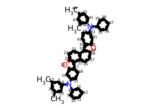 Cc1cc(C)cc(N(c2ccccc2)c2ccc3c(c2)oc2ccc4c(ccc5oc6cc(N(c7ccccc7)c7ccc(C)cc7C)ccc6c54)c23)c1